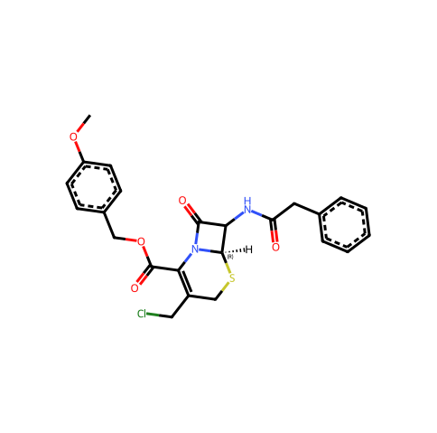 COc1ccc(COC(=O)C2=C(CCl)CS[C@@H]3C(NC(=O)Cc4ccccc4)C(=O)N23)cc1